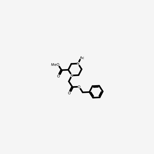 COC(=O)C1CN(C(C)=O)CCN1CC(=O)OCc1ccccc1